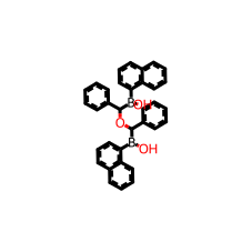 OB(c1cccc2ccccc12)C(OC(B(O)c1cccc2ccccc12)c1ccccc1)c1ccccc1